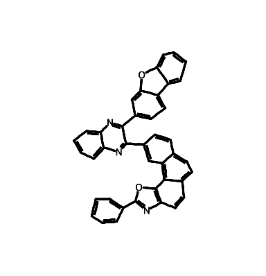 c1ccc(-c2nc3ccc4ccc5ccc(-c6nc7ccccc7nc6-c6ccc7c(c6)oc6ccccc67)cc5c4c3o2)cc1